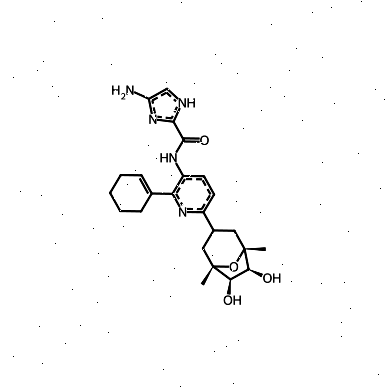 C[C@]12CC(c3ccc(NC(=O)c4nc(N)c[nH]4)c(C4=CCCCC4)n3)C[C@](C)(O1)[C@H](O)[C@@H]2O